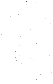 COc1c(CC(=O)O)cccc1-c1ccc(C(F)(F)F)cc1CN(C(C)=O)[C@@H]1CCc2ccccc21